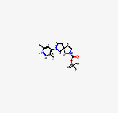 Cc1cc(N2CCC3(CCN(C(=O)OC(C)(C)C)C3)C2)c(C)cn1